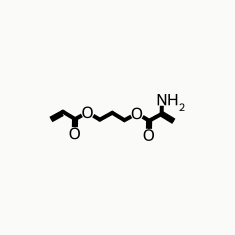 C=CC(=O)OCCCOC(=O)C(=C)N